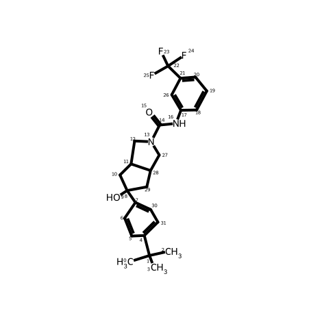 CC(C)(C)c1ccc(C2(O)CC3CN(C(=O)Nc4cccc(C(F)(F)F)c4)CC3C2)cc1